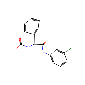 O=C(O)NC(C(=O)Nc1cccc(Cl)c1)c1ccccc1